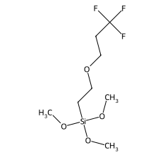 CO[Si](CCOCCC(F)(F)F)(OC)OC